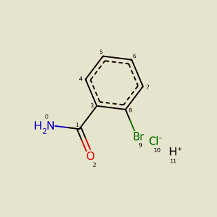 NC(=O)c1ccccc1Br.[Cl-].[H+]